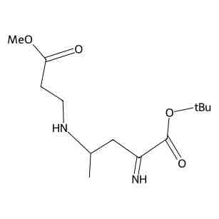 COC(=O)CCNC(C)CC(=N)C(=O)OC(C)(C)C